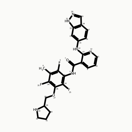 Cc1c(F)c(NC(=O)c2cccnc2Nc2ccc3cn[nH]c3c2)c(F)c(OCC2CCCN2)c1F